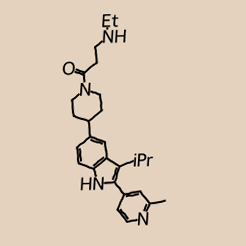 CCNCCC(=O)N1CCC(c2ccc3[nH]c(-c4ccnc(C)c4)c(C(C)C)c3c2)CC1